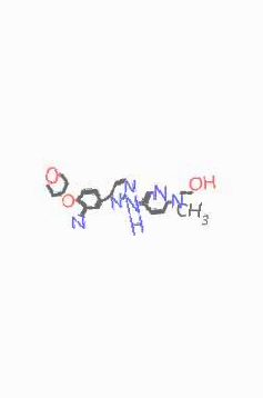 CN(CCO)c1ccc(Nc2nccc(-c3ccc(OC4CCOCC4)c(C#N)c3)n2)cn1